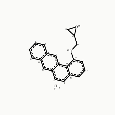 C.c1ccc2cc3c(ccc4cccc(OCC5CO5)c43)cc2c1